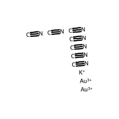 [Au+3].[Au+3].[C-]#N.[C-]#N.[C-]#N.[C-]#N.[C-]#N.[C-]#N.[C-]#N.[K+]